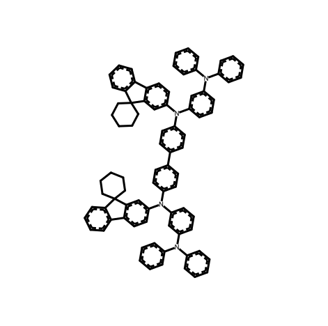 c1ccc(N(c2ccccc2)c2cccc(N(c3ccc(-c4ccc(N(c5cccc(N(c6ccccc6)c6ccccc6)c5)c5ccc6c(c5)C5(CCCCC5)c5ccccc5-6)cc4)cc3)c3ccc4c(c3)C3(CCCCC3)c3ccccc3-4)c2)cc1